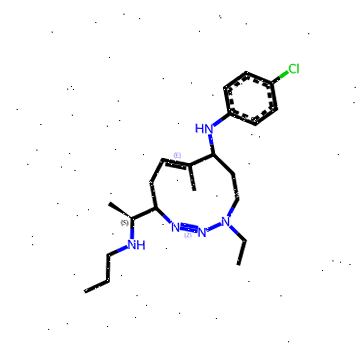 CCCN[C@@H](C)C1C/C=C(\C)C(Nc2ccc(Cl)cc2)CCN(CC)/N=N\1